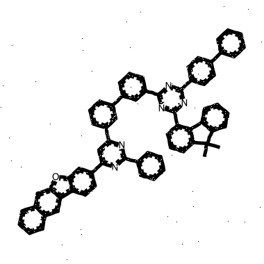 CC1(C)c2ccccc2-c2c(-c3nc(-c4ccc(-c5ccccc5)cc4)nc(-c4cccc(-c5cccc(-c6cc(-c7ccc8c(c7)oc7cc9ccccc9cc78)nc(-c7ccccc7)n6)c5)c4)n3)cccc21